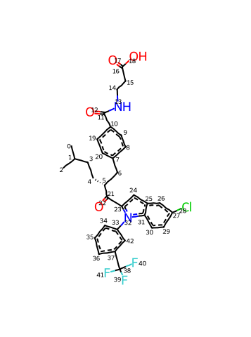 CC(C)CC[C@H](Cc1ccc(C(=O)NCCC(=O)O)cc1)C(=O)c1cc2cc(Cl)ccc2n1-c1cccc(C(F)(F)F)c1